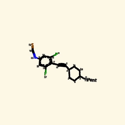 CCCCCC1CCC(C#Cc2c(F)cc(N=C=S)cc2F)CC1